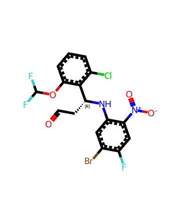 O=CC[C@@H](Nc1cc(Br)c(F)cc1[N+](=O)[O-])c1c(Cl)cccc1OC(F)F